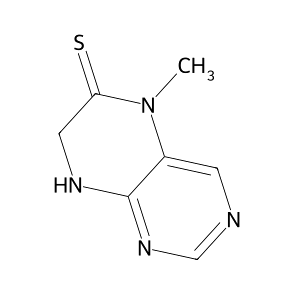 CN1C(=S)CNc2ncncc21